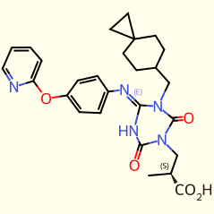 C[C@@H](Cn1c(=O)[nH]/c(=N\c2ccc(Oc3ccccn3)cc2)n(CC2CCC3(CC2)CC3)c1=O)C(=O)O